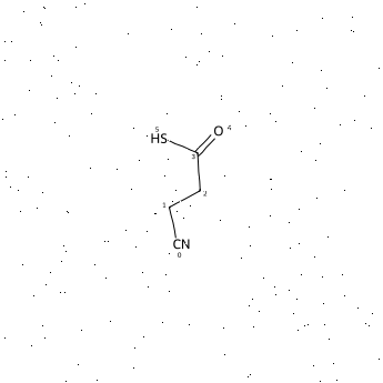 N#CCCC(=O)S